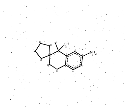 CC1(O)c2cc(N)ccc2CCC12CCCC2